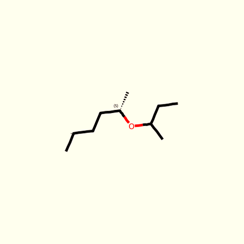 C[CH]CC[C@H](C)OC(C)CC